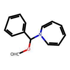 O=COC(c1ccccc1)N1C=CC=CC=C1